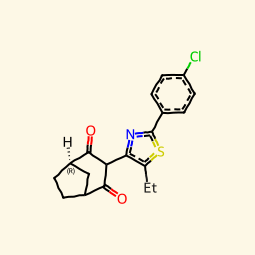 CCc1sc(-c2ccc(Cl)cc2)nc1C1C(=O)C2CC[C@H](C2)C1=O